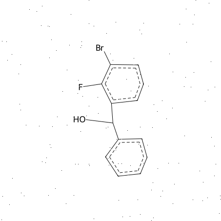 OC(c1ccccc1)c1cccc(Br)c1F